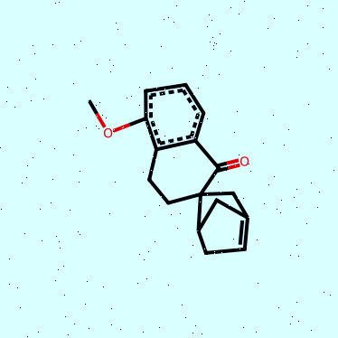 COc1cccc2c1CCC1(CC3=CCC1C3)C2=O